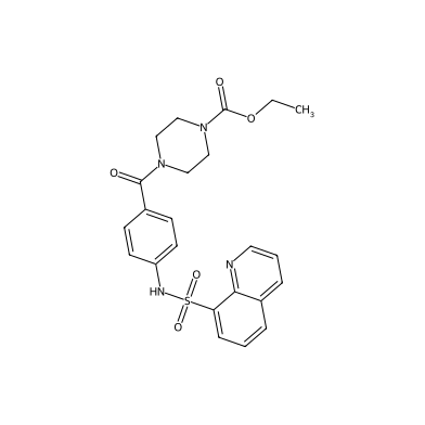 CCOC(=O)N1CCN(C(=O)c2ccc(NS(=O)(=O)c3cccc4cccnc34)cc2)CC1